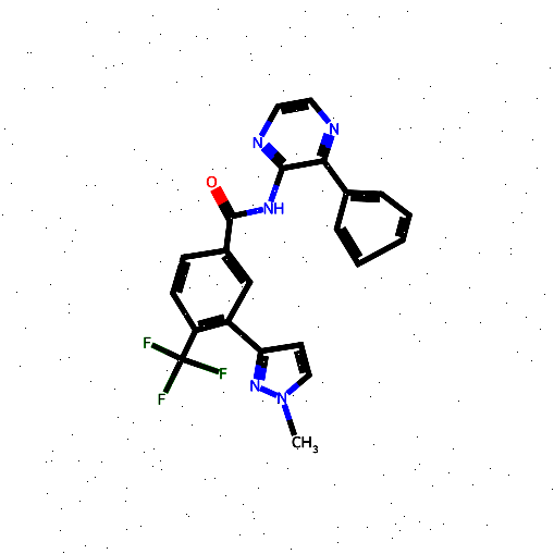 Cn1ccc(-c2cc(C(=O)Nc3nccnc3-c3ccccc3)ccc2C(F)(F)F)n1